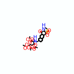 CC(=O)OCC1OC(OC(C)=O)C(NCc2ccc3cc4c(cc3c2)C(=O)C2=C(C4=O)S(=O)(=O)CCN2)C(OC(C)=O)C1OC(C)=O